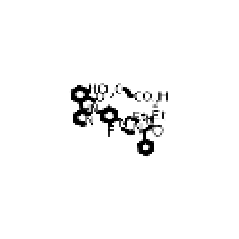 CCN(CC)C(=O)C(c1ccccc1)N1CCN(c2ccc(NC(=O)c3ccccc3-c3cccnc3)cc2F)CC1.O=C(O)C=CC(=O)O